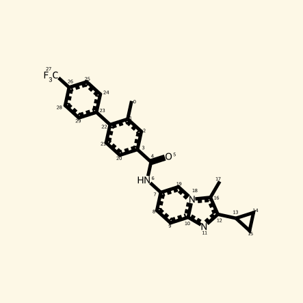 Cc1cc(C(=O)Nc2ccc3nc(C4CC4)c(C)n3c2)ccc1-c1ccc(C(F)(F)F)cc1